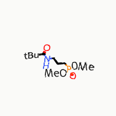 COP(=O)(CCCNC(=O)C(C)(C)C)OC